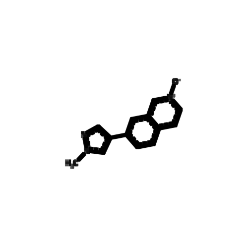 Cn1cc(-c2ccc3cc[n+]([O-])cc3c2)cn1